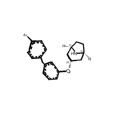 CC(=O)c1ccc(-c2cccc(O[C@@H]3C[C@H]4CC[C@@H](C3)N4)c2)cc1